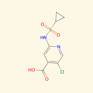 O=C(O)c1cc(NS(=O)(=O)C2CC2)ncc1Cl